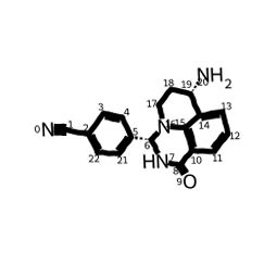 N#Cc1ccc([C@H]2NC(=O)c3cccc4c3N2CC[C@@H]4N)cc1